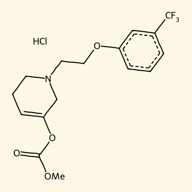 COC(=O)OC1=CCCN(CCOc2cccc(C(F)(F)F)c2)C1.Cl